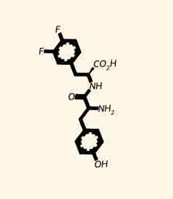 NC(Cc1ccc(O)cc1)C(=O)N[C@@H](Cc1ccc(F)c(F)c1)C(=O)O